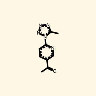 CC(=O)c1ccc(-n2nnnc2C)nc1